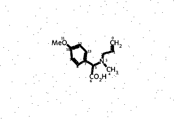 C=CCN(C)C(C(=O)O)c1ccc(OC)cc1